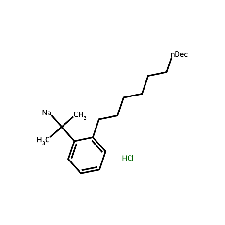 CCCCCCCCCCCCCCCCc1ccccc1[C](C)(C)[Na].Cl